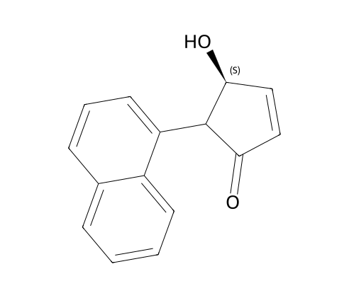 O=C1C=C[C@H](O)C1c1cccc2ccccc12